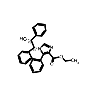 CCOC(=O)c1ncn([C@H](c2ccccc2)[C@H](O)c2ccccc2)c1-c1ccccc1